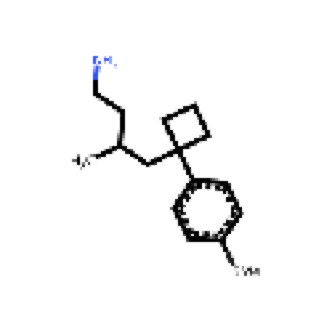 CSc1ccc(C2(CC(C)CCN)CCC2)cc1